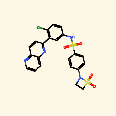 O=S(=O)(Nc1ccc(Cl)c(-c2ccc3ncccc3n2)c1)c1ccc(N2CCS2(=O)=O)cc1